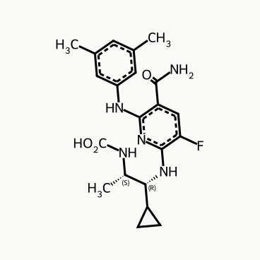 Cc1cc(C)cc(Nc2nc(N[C@H](C3CC3)[C@H](C)NC(=O)O)c(F)cc2C(N)=O)c1